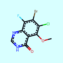 COc1c(Cl)c(Br)c(F)c2nc[nH]c(=O)c12